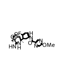 COc1cnc(C(=O)NC2=CC=C(F)C([C@]3(C)CS(=O)(=O)N(C)C(=N)N3)C2)cn1